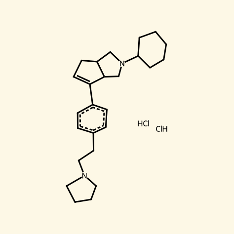 C1=C(c2ccc(CCN3CCCC3)cc2)C2CN(C3CCCCC3)CC2C1.Cl.Cl